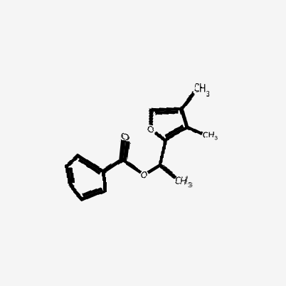 Cc1coc(C(C)OC(=O)c2ccccc2)c1C